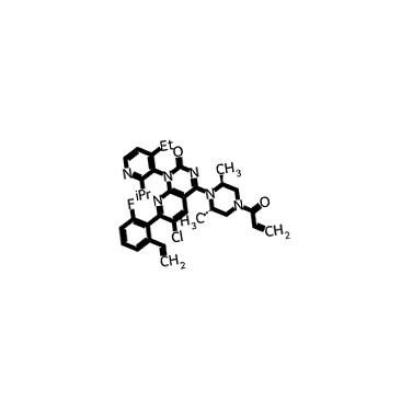 C=CC(=O)N1C[C@H](C)N(c2nc(=O)n(-c3c(CC)ccnc3C(C)C)c3nc(-c4c(F)cccc4C=C)c(Cl)cc23)[C@@H](C)C1